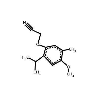 COc1cc(C(C)C)c(OCC#N)cc1C